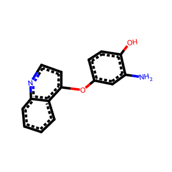 Nc1cc(Oc2ccnc3ccccc23)ccc1O